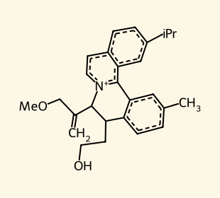 C=C(COC)C1C(CCO)c2ccc(C)cc2-c2c3cc(C(C)C)ccc3cc[n+]21